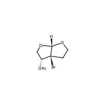 CC(=O)O[C@@H]1CO[C@@H]2OCC[C@@]21Br